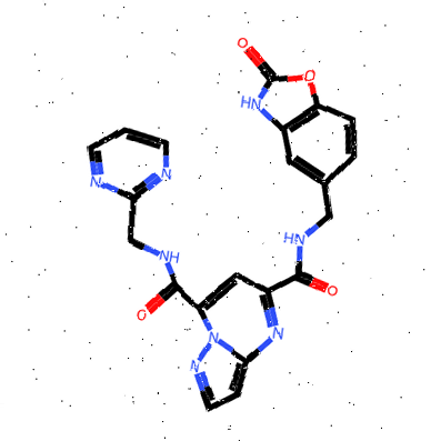 O=C(NCc1ccc2oc(=O)[nH]c2c1)c1cc(C(=O)NCc2ncccn2)n2nccc2n1